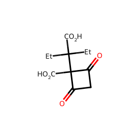 CCC(CC)(C(=O)O)C1(C(=O)O)C(=O)CC1=O